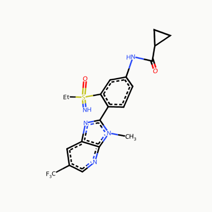 CCS(=N)(=O)c1cc(NC(=O)C2CC2)ccc1-c1nc2cc(C(F)(F)F)cnc2n1C